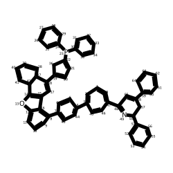 C1=CC=C(c2ccc(-c3cccc4oc5c(c34)C=C(C3=CC=C(P(c4ccccc4)c4ccccc4)C3)C3C=CC=CC53)cc2)C=CC=1C1=NC(c2ccccc2)CC(c2ccccc2)=C1